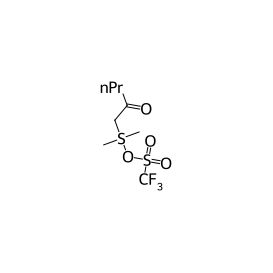 CCCC(=O)CS(C)(C)OS(=O)(=O)C(F)(F)F